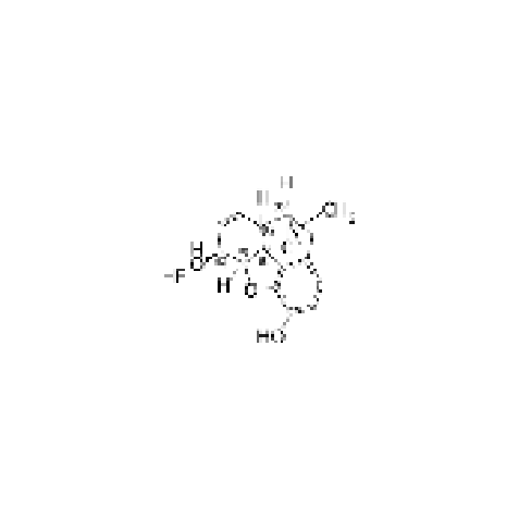 CN1CC[C@]23c4c5ccc(O)c4O[C@H]2[C@@H](O)C=C[C@H]3[C@H]1C5.F